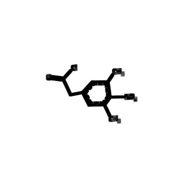 Cc1cc(CC(=O)Cl)cc(C)c1[N+](=O)[O-]